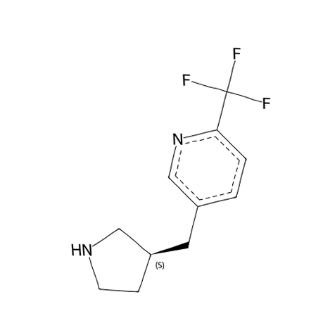 FC(F)(F)c1ccc(C[C@H]2CCNC2)cn1